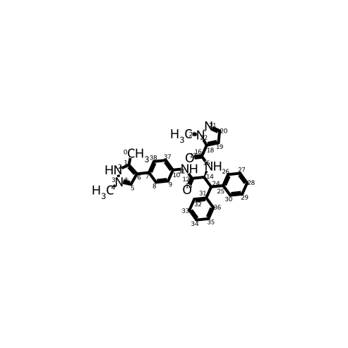 Cc1[nH][n+](C)cc1-c1ccc(NC(=O)[C@@H](NC(=O)c2ccnn2C)C(c2ccccc2)c2ccccc2)cc1